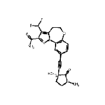 CN1CC[C@@](O)(C#Cc2ccc3c(c2)-n2nc(C(N)=O)c(C(F)F)c2CCO3)C1=O